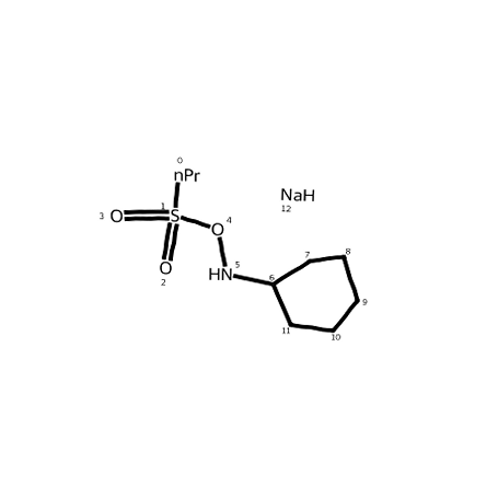 CCCS(=O)(=O)ONC1CCCCC1.[NaH]